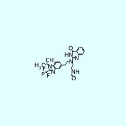 CC(C)n1c(C(F)(F)F)nc2cc(CCN(CCNC=O)c3nc4ccccc4c(=O)[nH]3)ccc21